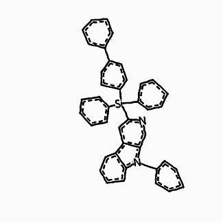 c1ccc(-c2ccc([Si](c3ccccc3)(c3ccccc3)c3cc4c5ccccc5n(-c5ccccc5)c4cn3)cc2)cc1